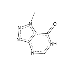 Cn1nnc2nc[nH]c(=O)c21